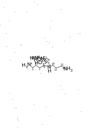 CS(=O)(=O)O.CS(=O)(=O)O.NCCCCNCCCN.[N-]=[N+]=[N-]